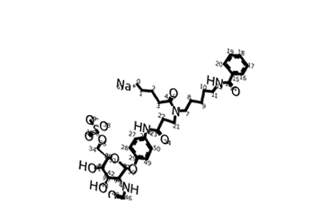 CCCCC(=O)N(CCCCCNC(=O)c1ccccc1)CCC(=O)Nc1ccc(O[C@@H]2O[C@H](COS(=O)(=O)[O-])[C@H](O)[C@H](O)[C@H]2NC(C)=O)cc1.[Na+]